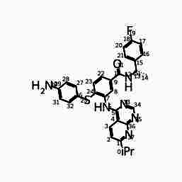 CC(C)c1ccc2c(Nc3cc(C(=O)N[C@@H](C)c4ccc(F)cc4)ccc3Sc3ccc(N)cc3)ncnc2n1